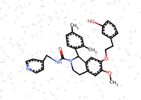 COc1cc2c(cc1OCCc1cccc(O)c1)C(c1ccc(C)cc1C)N(C(=O)NCc1ccncc1)CC2